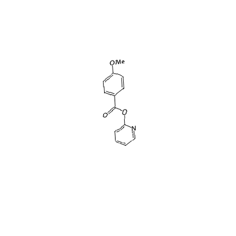 COc1ccc(C(=O)Oc2ccccn2)cc1